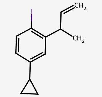 [CH2]C(C=C)c1cc(C2CC2)ccc1I